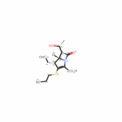 C[C@@H](O)[C@H]1C(=O)N2C(C(=O)O)=C(SCCC#N)[C@H](CC=O)[C@H]12